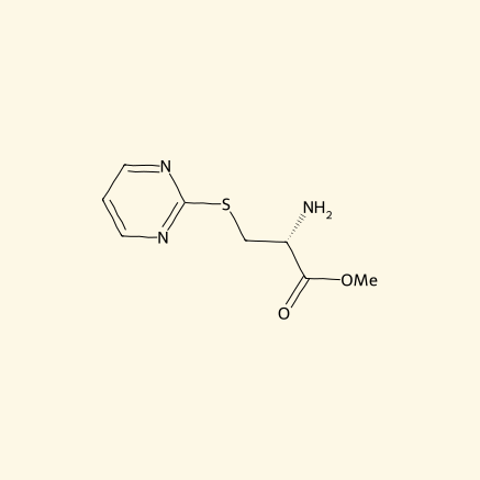 COC(=O)[C@@H](N)CSc1ncccn1